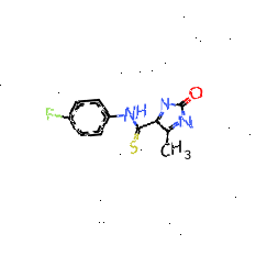 CC1=NC(=O)N=C1C(=S)Nc1ccc(F)cc1